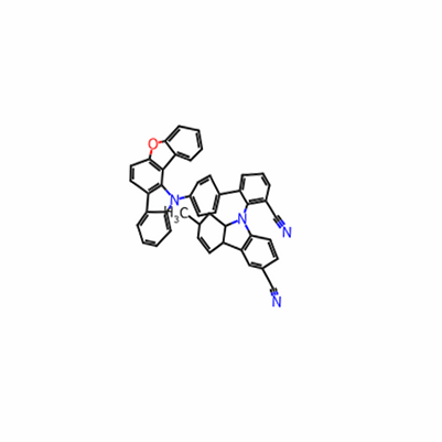 CC1C=CC2c3cc(C#N)ccc3N(c3c(C#N)cccc3-c3ccc(-n4c5ccccc5c5ccc6oc7ccccc7c6c54)cc3)C2C1